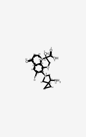 C[C@@]1(C(=O)O)COc2c(N3CC(N)C4(CC4)C3)c(F)cc3c(=O)ccn1c23